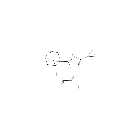 C1CC1c1nsc(C2CN3CCC2CC3)n1.O=C(O)C(=O)O